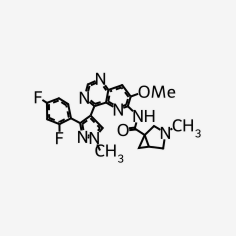 COc1cc2ncnc(-c3cn(C)nc3-c3ccc(F)cc3F)c2nc1NC(=O)C12CC1CN(C)C2